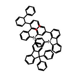 C1=CC(c2ccccc2)C(c2ccccc2-c2ccccc2N(c2cccc(-c3cccc4c5ccccc5n(-c5ccccc5)c34)c2)c2ccc3c(c2)-c2ccccc2C3(c2ccccc2)c2ccccc2)C=C1